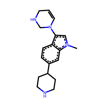 Cn1cc(N2C=CCNC2)c2ccc(C3CCNCC3)cc21